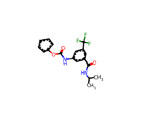 CC(C)NC(=O)c1cc(NC(=O)Oc2ccccc2)cc(C(F)(F)F)c1